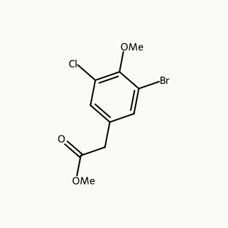 COC(=O)Cc1cc(Cl)c(OC)c(Br)c1